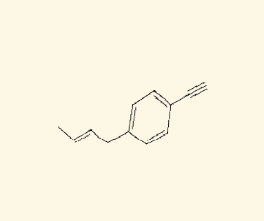 C#Cc1ccc(CC=CC)cc1